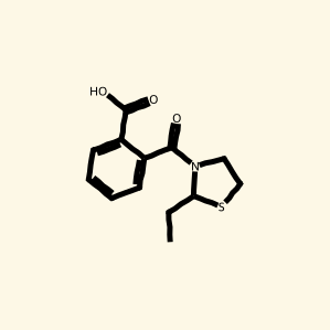 CCC1SCCN1C(=O)c1ccccc1C(=O)O